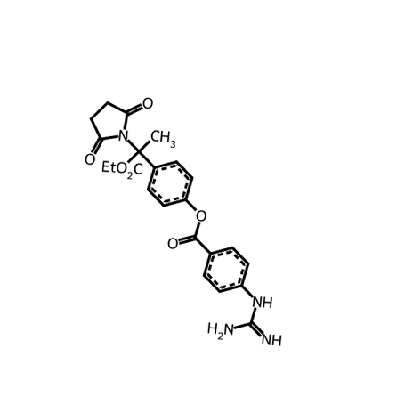 CCOC(=O)C(C)(c1ccc(OC(=O)c2ccc(NC(=N)N)cc2)cc1)N1C(=O)CCC1=O